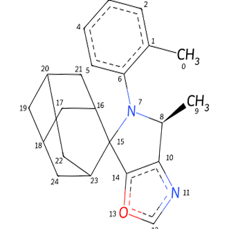 Cc1ccccc1N1[C@@H](C)c2ncoc2C12C1CC3CC(C1)CC2C3